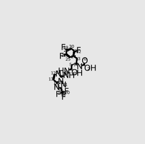 O=C(O)N[C@@H](CC(=O)NNc1nccc2nc(C(F)(F)F)nn12)Cc1cc(F)c(F)cc1F